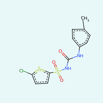 Cc1ccc(NC(=O)NS(=O)(=O)c2ccc(Cl)s2)cc1